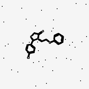 O=C1CSC(c2ccc(Cl)cc2)N1CCOc1ccccc1